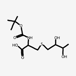 CC(O)C(O)CSCC(NC(=O)OC(C)(C)C)C(=O)O